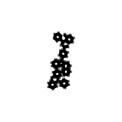 C=C(/N=C(/c1ccccc1)c1ccccc1C)c1ccc(-n2c3cccc(-c4ccc5c(c4)Sc4ccccc4N5c4ccccc4)c3c3c4ccccc4ccc32)cc1